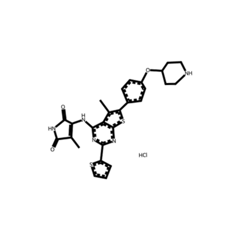 CC1=C(Nc2nc(-c3cccs3)nc3sc(-c4ccc(OC5CCNCC5)cc4)c(C)c23)C(=O)NC1=O.Cl